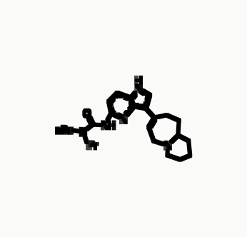 CCCCN(C(=O)Nc1ccc2[nH]cc(C3=CCN4CCCCC4CC3)c2n1)C(C)C